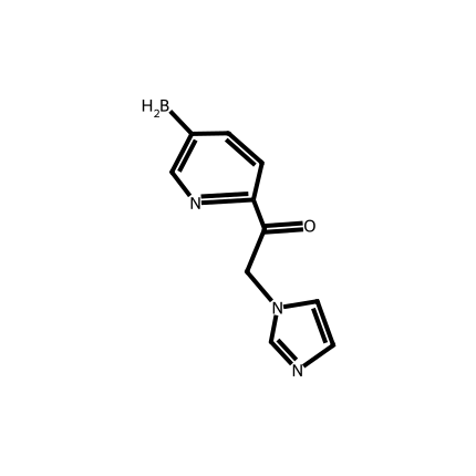 Bc1ccc(C(=O)Cn2ccnc2)nc1